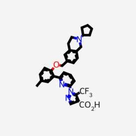 Cc1ccc(OCc2ccc3c(c2)CCN(C2CCCC2)C3)c(-c2cccc(-n3ncc(C(=O)O)c3C(F)(F)F)n2)c1